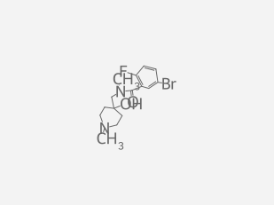 CN1CCC(O)(CN(C)C(=O)c2cc(Br)ccc2F)CC1